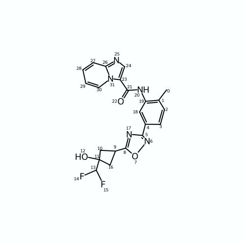 Cc1ccc(-c2noc(C3CC(O)(C(F)F)C3)n2)cc1NC(=O)c1cnc2ccccn12